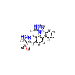 CCCCN1NC(C)=C(C(C)=O)C1Cc1ccc(-c2ccccc2-c2nn[nH]n2)cc1